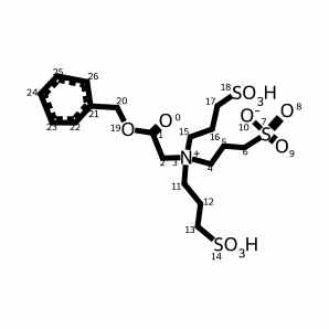 O=C(C[N+](CCCS(=O)(=O)[O-])(CCCS(=O)(=O)O)CCCS(=O)(=O)O)OCc1ccccc1